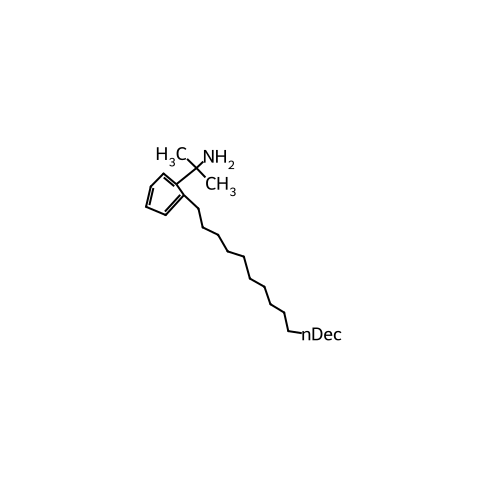 CCCCCCCCCCCCCCCCCCCCc1ccccc1C(C)(C)N